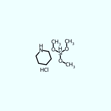 C1CCNCC1.CO[SiH](OC)OC.Cl